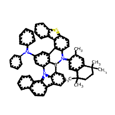 Cc1cc2c(cc1N1B3c4c(cc(N(c5ccccc5)c5ccccc5)cc4-n4c5c3cccc5c3ccc5ccccc5c34)-c3c1ccc1sc4ccccc4c31)C(C)(C)CCC2(C)C